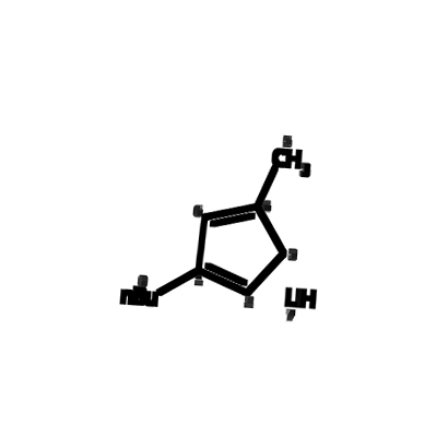 CCCCC1=CCC(C)=C1.[LiH]